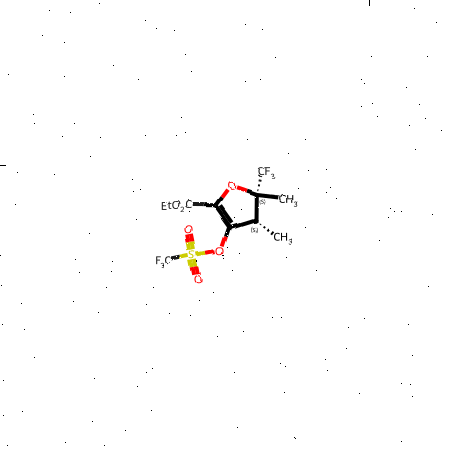 CCOC(=O)C1=C(OS(=O)(=O)C(F)(F)F)[C@@H](C)[C@@](C)(C(F)(F)F)O1